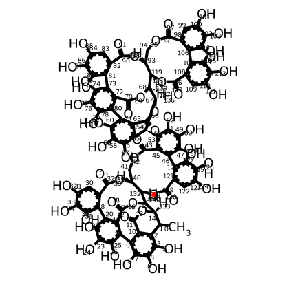 CC1c2c(O)c(O)c(O)c3c2C(=O)O[C@@H]1[C@H]1OC(=O)c2c(c(O)c(O)c(O)c2-3)-c2c(cc(O)c(O)c2O)C(=O)O[C@@H]2COC(=O)c3c(c(O)c(O)c(O)c3[C@H]3c4c(O)c(O)c(O)c5c4C(=O)O[C@@H]3[C@H]3OC(=O)c4c(c(O)c(O)c(O)c4-5)-c4c(cc(O)c(O)c4O)C(=O)O[C@@H]4COC(=O)c5cc(O)c(O)c(O)c5-c5c(cc(O)c(O)c5O)C(=O)O[C@@H]34)-c3c(cc(O)c(O)c3O)C(=O)O[C@@H]12